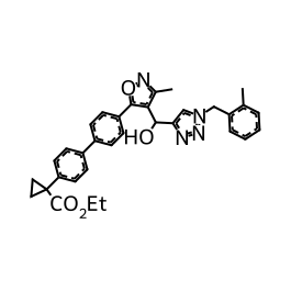 CCOC(=O)C1(c2ccc(-c3ccc(-c4onc(C)c4C(O)c4cn(Cc5ccccc5C)nn4)cc3)cc2)CC1